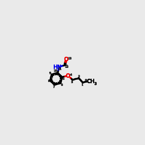 CCCCOc1ccccc1N[C]=O